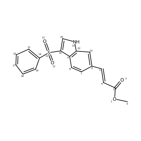 COC(=O)C=Cc1ccc2c(S(=O)(=O)c3ccccc3)c[nH]c2c1